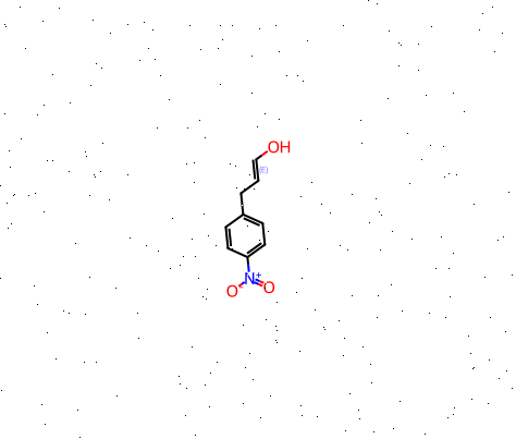 O=[N+]([O-])c1ccc(C/C=C/O)cc1